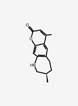 Cc1cc(=O)oc2cc3c(cc12)CC[C@@H](C)CN3